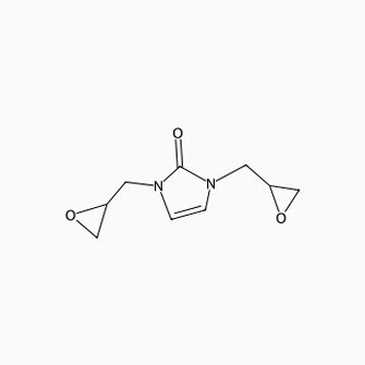 O=c1n(CC2CO2)ccn1CC1CO1